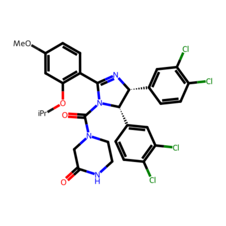 COc1ccc(C2=N[C@H](c3ccc(Cl)c(Cl)c3)[C@H](c3ccc(Cl)c(Cl)c3)N2C(=O)N2CCNC(=O)C2)c(OC(C)C)c1